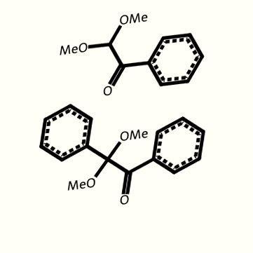 COC(OC)(C(=O)c1ccccc1)c1ccccc1.COC(OC)C(=O)c1ccccc1